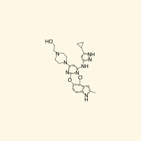 Cc1cc2c(Cl)c(Oc3nc(Nc4cc(C5CC5)[nH]n4)cc(N4CCN(CCO)CC4)n3)ccc2[nH]1